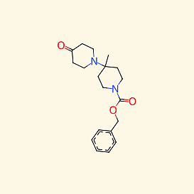 CC1(N2CCC(=O)CC2)CCN(C(=O)OCc2ccccc2)CC1